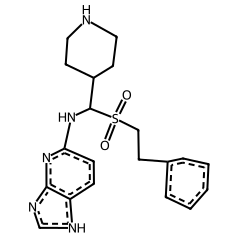 O=S(=O)(CCc1ccccc1)C(Nc1ccc2[nH]cnc2n1)C1CCNCC1